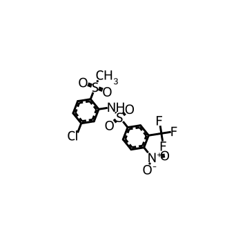 CS(=O)(=O)c1ccc(Cl)cc1NS(=O)(=O)c1ccc([N+](=O)[O-])c(C(F)(F)F)c1